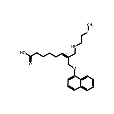 COCCNC/C(=C/CCCCC(=O)O)COc1cccc2ccccc12